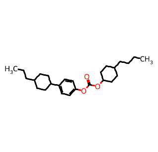 CCCCC1CCC(OC(=O)Oc2ccc(C3CCC(CCC)CC3)cc2)CC1